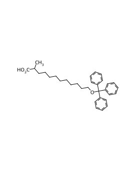 CC(CCCCCCCCCCOC(c1ccccc1)(c1ccccc1)c1ccccc1)C(=O)O